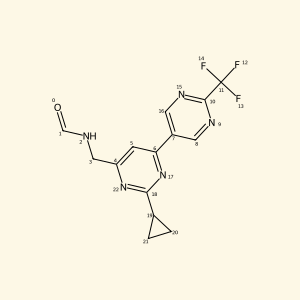 O=CNCc1cc(-c2cnc(C(F)(F)F)nc2)nc(C2CC2)n1